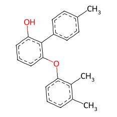 Cc1ccc(-c2c(O)cccc2Oc2cccc(C)c2C)cc1